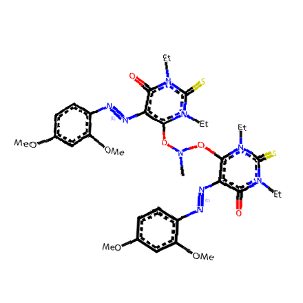 CCn1c(ON(C)Oc2c(/N=N/c3ccc(OC)cc3OC)c(=O)n(CC)c(=S)n2CC)c(/N=N/c2ccc(OC)cc2OC)c(=O)n(CC)c1=S